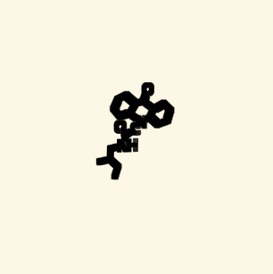 CCC(C)CNC(=O)Cn1c2ccccc2c(=O)c2ccccc21